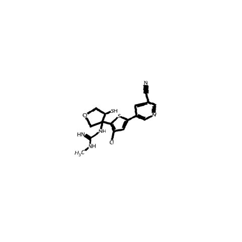 CNC(=N)NC1(c2sc(-c3cncc(C#N)c3)cc2Cl)COCC1S